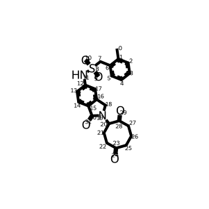 Cc1ccccc1CS(=O)(=O)Nc1ccc2c(c1)CN(C1CCC(=O)CCCC1=O)C2=O